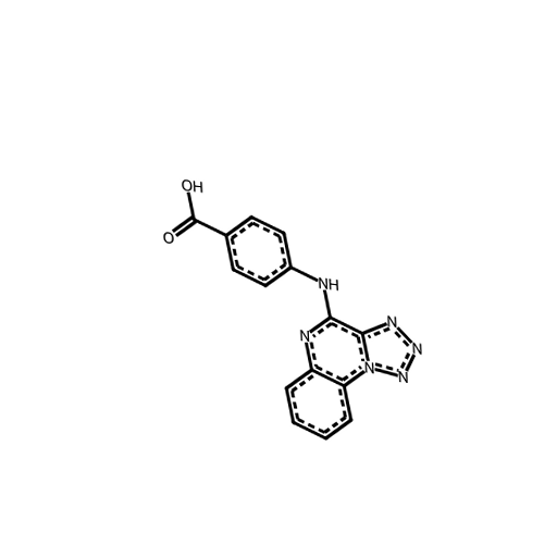 O=C(O)c1ccc(Nc2nc3ccccc3n3nnnc23)cc1